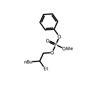 CCCCC(CC)COP(=O)(OC)Oc1ccccc1